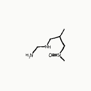 CC(CNCN)C[Si](C)=O